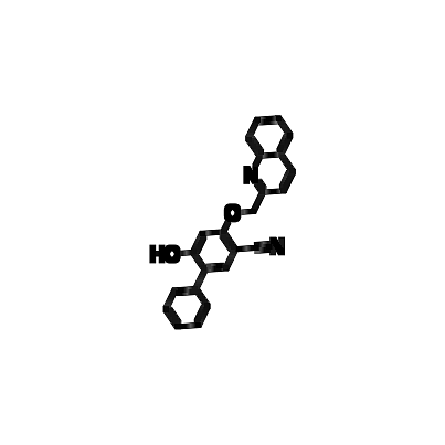 N#Cc1cc(-c2ccccc2)c(O)cc1OCc1ccc2ccccc2n1